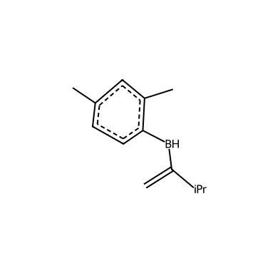 C=C(Bc1ccc(C)cc1C)C(C)C